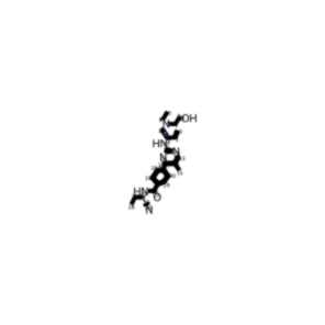 C=C/C(=C\N(CC)CCO)Nc1ncc(C)c(-c2ccc(C(=O)N[C@H](C#N)CC)cc2)n1